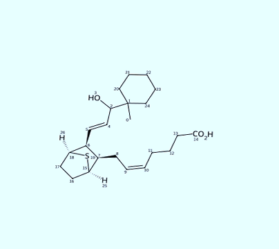 CC1(C(O)/C=C/[C@H]2[C@@H](C/C=C\CCCC(=O)O)[C@H]3CC[C@@H]2S3)CCCCC1